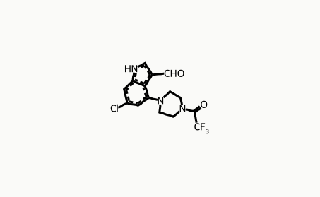 O=Cc1c[nH]c2cc(Cl)cc(N3CCN(C(=O)C(F)(F)F)CC3)c12